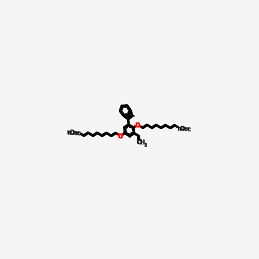 C=Cc1[c]c(OCCCCCCCCCCCCCCCCCC)cc(C2=[C]c3cccc2c3)c1OCCCCCCCCCCCCCCCCCC